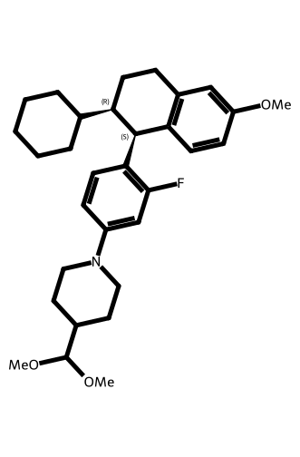 COc1ccc2c(c1)CC[C@H](C1CCCCC1)[C@@H]2c1ccc(N2CCC(C(OC)OC)CC2)cc1F